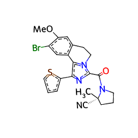 COc1cc2c(cc1Br)-c1c(-c3cccs3)nc(C(=O)N3CCC[C@]3(C)C#N)n1CC2